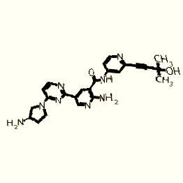 CC(C)(O)C#Cc1cc(NC(=O)c2cc(-c3nccc(N4CC[C@@H](N)C4)n3)cnc2N)ccn1